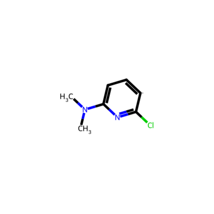 CN(C)c1cc[c]c(Cl)n1